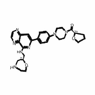 O=C([C@H]1CCCO1)N1CCN(c2ccc(-c3cc4nccnc4c(NC[C@@H]4CNCCO4)n3)cc2)CC1